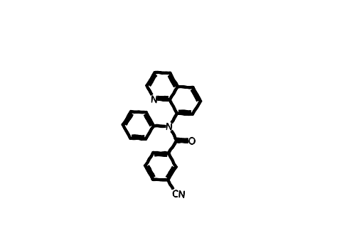 N#Cc1cccc(C(=O)N(c2ccccc2)c2cccc3cccnc23)c1